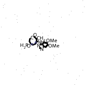 C=C1C(=O)CCC/C(OP)=C\C=C/1Nc1ncnc2cc(OC)c(OC)cc12